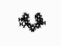 NC(COc1cncc(-c2ccc3c(c2)/C(=C/c2ccccn2)C(=O)N3)c1)Cc1c[nH]c2ccccc12